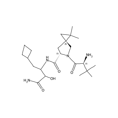 CC(C)(C)[C@H](N)C(=O)N1C[C@@]2(C[C@H]1C(=O)NC(CC1CCC1)C(O)C(N)=O)CC2(C)C